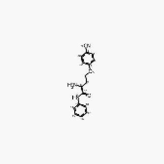 N#Cc1ccc(OCCC(N)C(=O)Nc2ccccc2)cc1